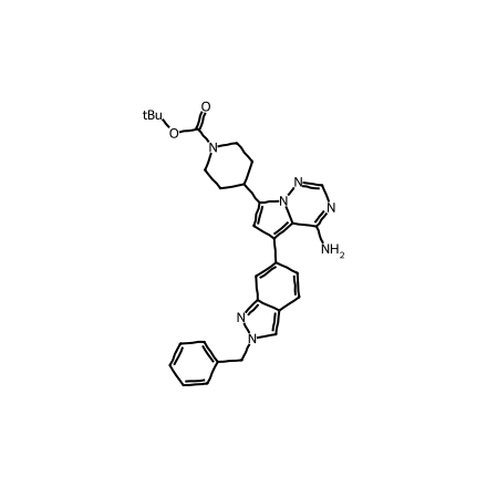 CC(C)(C)OC(=O)N1CCC(c2cc(-c3ccc4cn(Cc5ccccc5)nc4c3)c3c(N)ncnn23)CC1